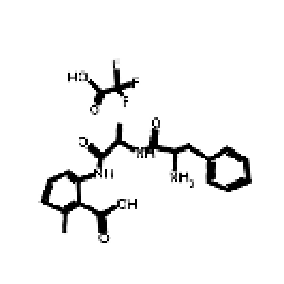 Cc1cccc(NC(=O)C(C)NC(=O)C(N)Cc2ccccc2)c1C(=O)O.O=C(O)C(F)(F)F